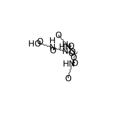 CCC(COCCCNCCCCCCC(=O)NCCCCCCCC(=O)O)(COCCC(=O)NCCCCCCCC=O)COCCC(=O)NCCCCCCCC=O